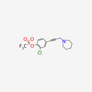 O=S(=O)(Oc1ccc(C#CCN2CCCCC2)cc1Cl)C(F)(F)F